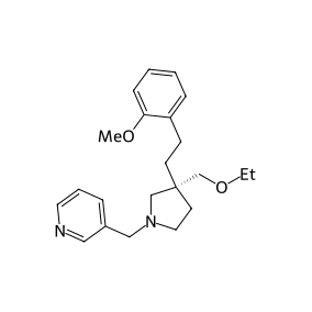 CCOC[C@]1(CCc2ccccc2OC)CCN(Cc2cccnc2)C1